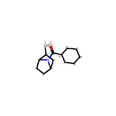 CC1CC2CCC1N2C(=O)C1CCCCC1